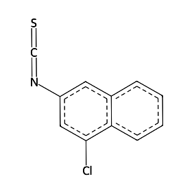 S=C=Nc1cc(Cl)c2ccccc2c1